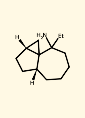 CCC1(N)CCCC[C@@H]2CC[C@@H]3CC231